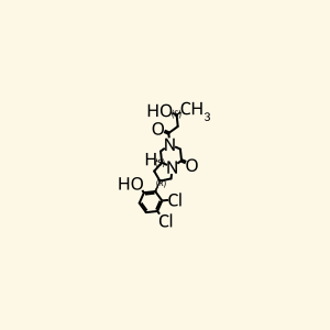 C[C@H](O)CC(=O)N1CC(=O)N2C[C@@H](c3c(O)ccc(Cl)c3Cl)C[C@H]2C1